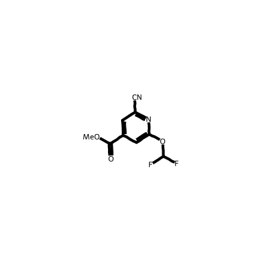 COC(=O)c1cc(C#N)nc(OC(F)F)c1